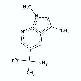 CCCC(C)(C)c1cnc2c(c1)c(C)cn2C